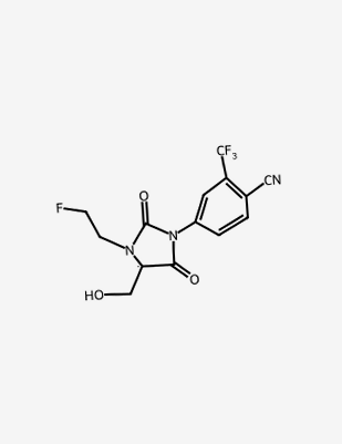 N#Cc1ccc(N2C(=O)[C](CO)N(CCF)C2=O)cc1C(F)(F)F